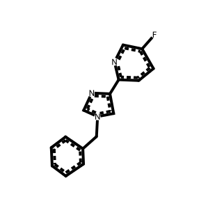 Fc1ccc(-c2cn(Cc3ccccc3)cn2)nc1